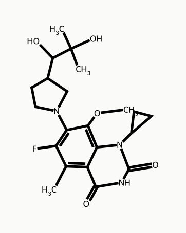 COc1c(N2CCC(C(O)C(C)(C)O)C2)c(F)c(C)c2c(=O)[nH]c(=O)n(C3CC3)c12